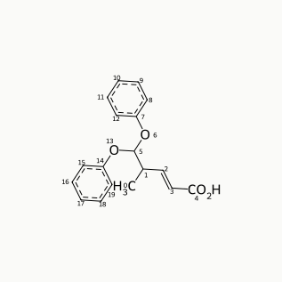 CC(C=CC(=O)O)C(Oc1ccccc1)Oc1ccccc1